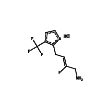 Cl.NCC(F)=CCc1sccc1C(F)(F)F